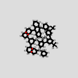 CC(C)(C)c1ccc2c(c1)c1cc(C(C)(C)C)cc3c1n2B1c2cc4c(-c5ccccc5)c5ccccc5c(-c5ccccc5)c4cc2N(c2cc(-c4ccccc4)cc(-c4ccccc4)c2)c2cc(N(c4ccccc4)c4ccccc4)cc-3c21